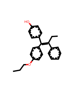 CCCOc1ccc(/C(=C(/CC)c2ccccc2)c2ccc(O)cc2)cc1